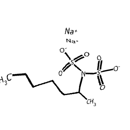 CCCCCC(C)N(S(=O)(=O)[O-])S(=O)(=O)[O-].[Na+].[Na+]